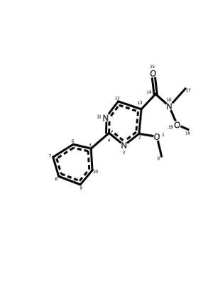 COc1nc(-c2ccccc2)ncc1C(=O)N(C)OC